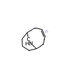 C1=C\CC2CCCC(C/1)CN2